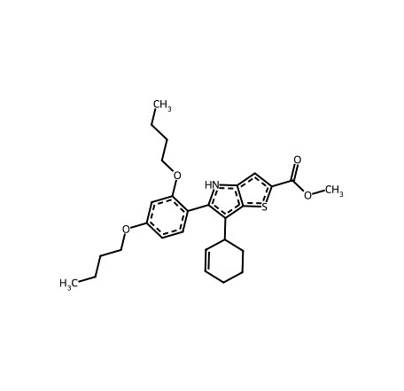 CCCCOc1ccc(-c2[nH]c3cc(C(=O)OC)sc3c2C2C=CCCC2)c(OCCCC)c1